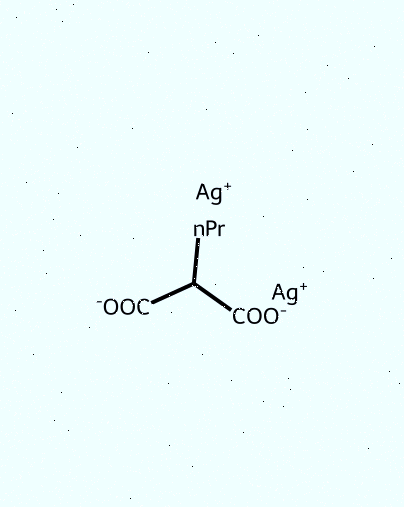 CCCC(C(=O)[O-])C(=O)[O-].[Ag+].[Ag+]